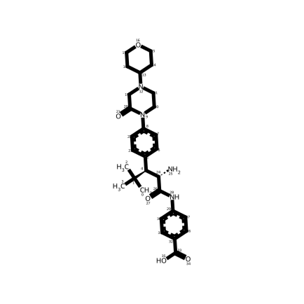 CC(C)(C)[C@@H](c1ccc(N2CCN(C3CCOCC3)CC2=O)cc1)[C@H](N)C(=O)Nc1ccc(C(=O)O)cc1